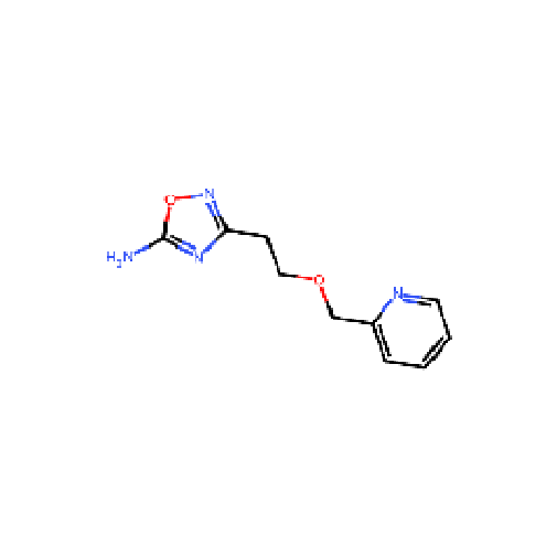 Nc1nc(CCOCc2ccccn2)no1